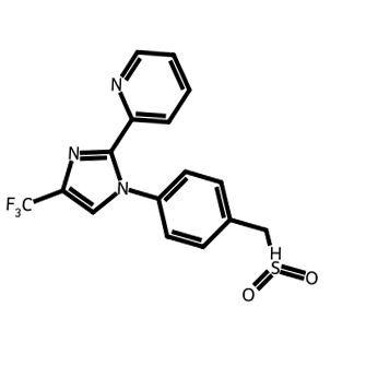 O=[SH](=O)Cc1ccc(-n2cc(C(F)(F)F)nc2-c2ccccn2)cc1